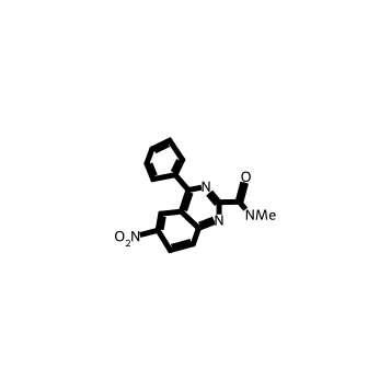 CNC(=O)c1nc(-c2ccccc2)c2cc([N+](=O)[O-])ccc2n1